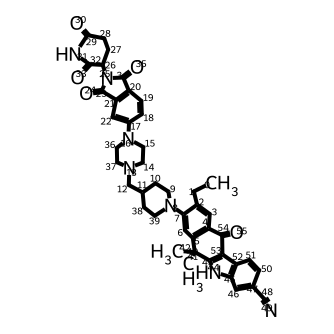 CCc1cc2c(cc1N1CCC(CN3CCN(c4ccc5c(c4)C(=O)N(C4CCC(=O)NC4=O)C5=O)CC3)CC1)C(C)(C)c1[nH]c3cc(C#N)ccc3c1C2=O